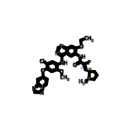 CCOc1cc2ncnc(Nc3cc(Cl)c(Oc4ccn5ncnc5c4)cc3OC)c2cc1NC(=O)/C(F)=C/[C@H]1CCCN1C